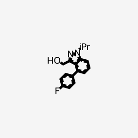 CC(C)n1nc(CO)c2c(-c3ccc(F)cc3)cccc21